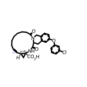 O=C1N[C@]2(C(=O)O)C[C@H]2/C=C\CCCCCCC(=O)N2Cc3ccc(Oc4cccc(Cl)c4)cc3CC12